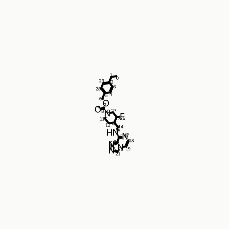 CCc1ccc(COC(=O)N2CCC(CNc3nccn4cnnc34)C(F)C2)cc1